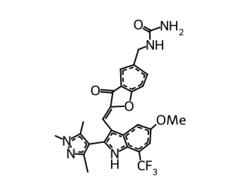 COc1cc(C(F)(F)F)c2[nH]c(-c3c(C)nn(C)c3C)c(C=C3Oc4ccc(CNC(N)=O)cc4C3=O)c2c1